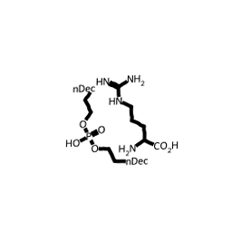 CCCCCCCCCCCCOP(=O)(O)OCCCCCCCCCCCC.N=C(N)NCCCC(N)C(=O)O